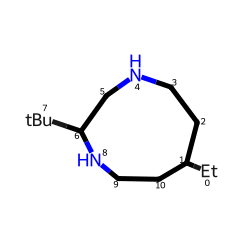 CCC1CCNCC(C(C)(C)C)NCC1